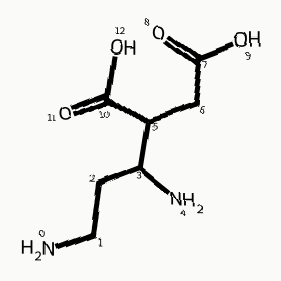 NCCC(N)C(CC(=O)O)C(=O)O